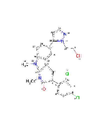 Cn1c(=O)c(-c2ccc(Cl)cc2Cl)cc2c3cc(-c4ccnn4CCO)ccc3n(C)c21